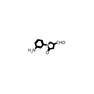 Nc1cccc(N2CC([C]=O)CC2=O)c1